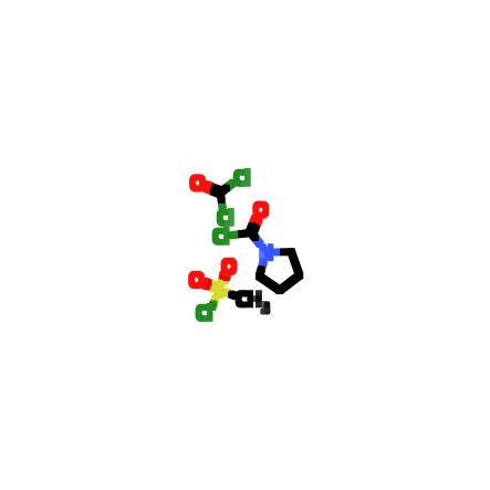 CS(=O)(=O)Cl.O=C(Cl)Cl.O=C(Cl)N1CCCC1